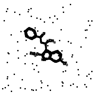 CCOC(=O)c1[nH]c2cc(C(F)(F)F)ccc2c1N(C)CC(=O)c1ccccc1